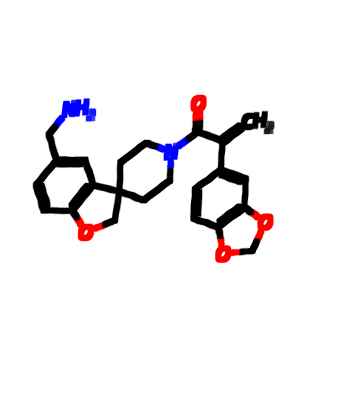 C=C(C(=O)N1CCC2(CC1)COc1ccc(CN)cc12)c1ccc2c(c1)OCO2